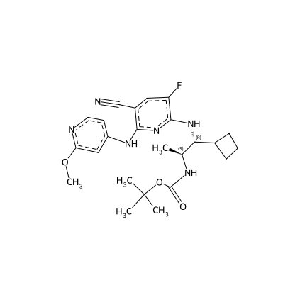 COc1cc(Nc2nc(N[C@H](C3CCC3)[C@H](C)NC(=O)OC(C)(C)C)c(F)cc2C#N)ccn1